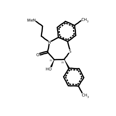 CNCCN1C(=O)[C@H](O)[C@H](c2ccc(C)cc2)Sc2cc(C)ccc21